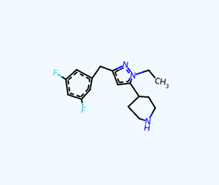 CCn1nc(Cc2cc(F)cc(F)c2)cc1C1CCNCC1